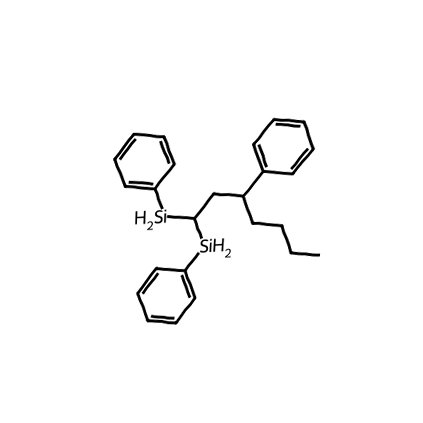 CCCCC(CC([SiH2]c1ccccc1)[SiH2]c1ccccc1)c1ccccc1